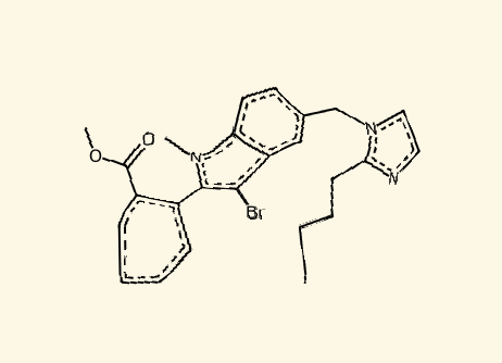 CCCCc1nccn1Cc1ccc2c(c1)c(Br)c(-c1ccccc1C(=O)OC)n2C